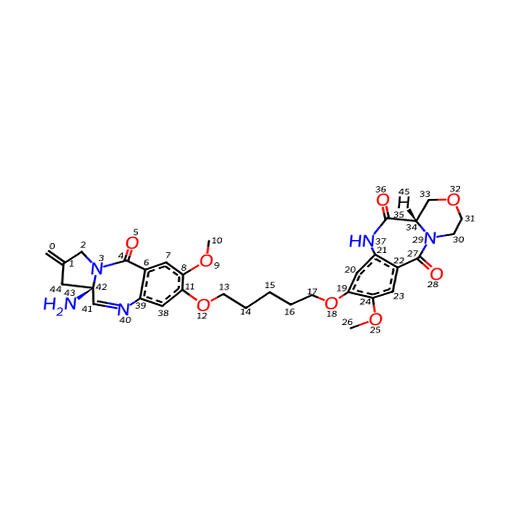 C=C1CN2C(=O)c3cc(OC)c(OCCCCCOc4cc5c(cc4OC)C(=O)N4CCOC[C@H]4C(=O)N5)cc3N=C[C@]2(N)C1